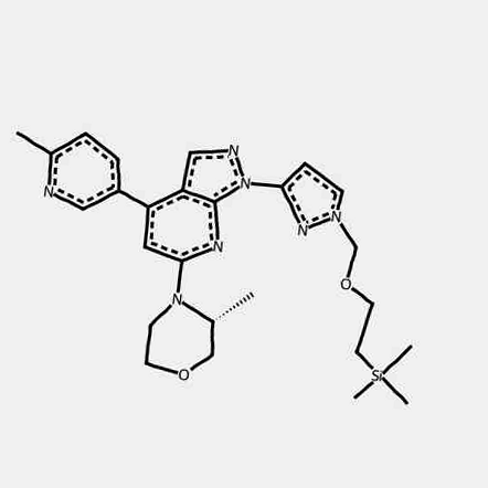 Cc1ccc(-c2cc(N3CCOC[C@H]3C)nc3c2cnn3-c2ccn(COCC[Si](C)(C)C)n2)cn1